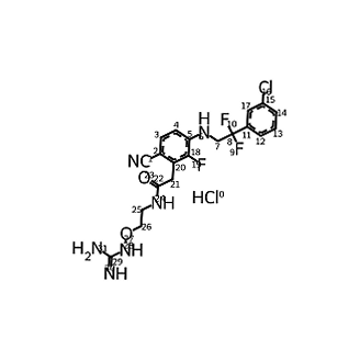 Cl.N#Cc1ccc(NCC(F)(F)c2cccc(Cl)c2)c(F)c1CC(=O)NCCONC(=N)N